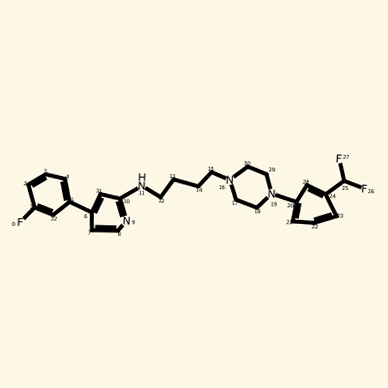 Fc1cccc(-c2ccnc(NCCCCN3CCN(c4cccc(C(F)F)c4)CC3)c2)c1